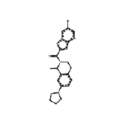 CC1c2cc(N3CCCC3)ccc2CCN1C(=O)c1cc2ncc(Br)cn2n1